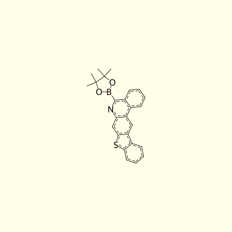 CC1(C)OB(c2nc3cc4sc5ccccc5c4cc3c3ccccc23)OC1(C)C